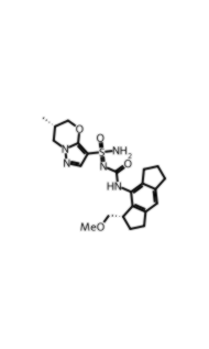 COC[C@H]1CCc2cc3c(c(NC(=O)N=S(N)(=O)c4cnn5c4OC[C@@H](C)C5)c21)CCC3